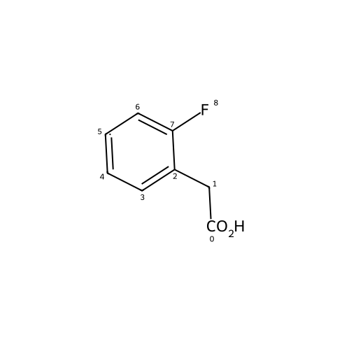 O=C(O)Cc1cc[c]cc1F